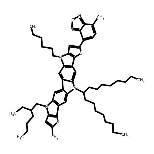 CCCCCCCCC(CCCCCCCC)n1c2cc3c4sc(C)cc4n(CC(CC)CCCC)c3cc2c2cc3c(cc21)c1sc(-c2ccc(C)c4nsnc24)cc1n3CCCCCC